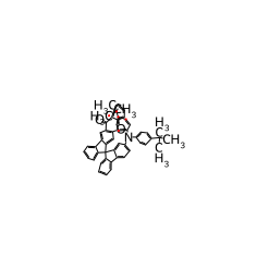 CC(C)(C)c1ccc(N(c2ccc(C(C)(C)C)cc2)c2ccc3c(c2)C2(c4ccccc4-3)c3ccccc3-c3cc4c(=O)c5ccccc5oc4cc32)cc1